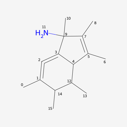 CC1=C=C2C(C(C)=C(C)C2(C)N)C(C)C1C